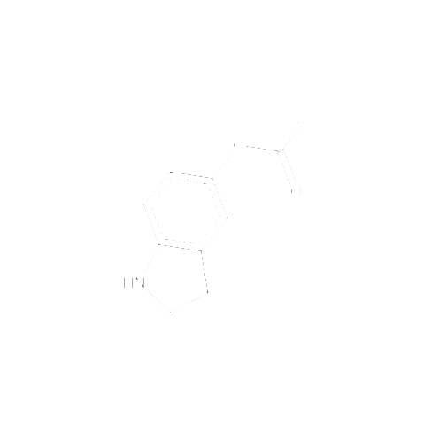 CC(=O)Oc1ccc2c(c1)CCN2